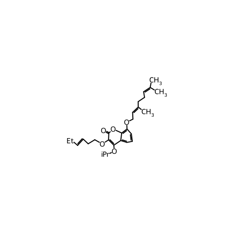 CCC=CCCOc1c(OC(C)C)c2cccc(OC/C=C(\C)CCC=C(C)C)c2oc1=O